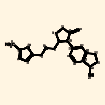 O=C(O)c1ccc(COCC2SCC(=O)N2c2ccc3c(c2)CCC3O)o1